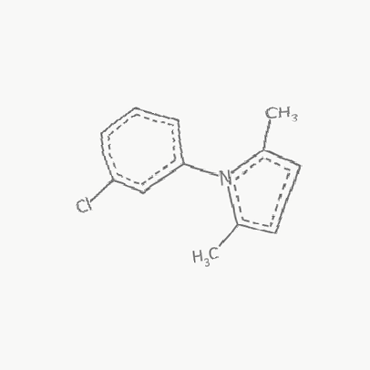 Cc1ccc(C)n1-c1cccc(Cl)c1